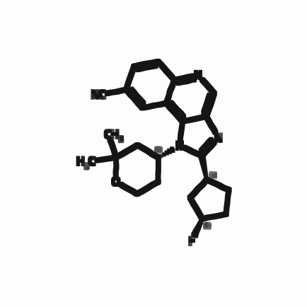 CC1(C)C[C@H](n2c([C@H]3CC[C@@H](F)C3)nc3cnc4ccc(C#N)cc4c32)CCO1